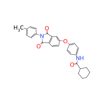 Cc1ccc(N2C(=O)c3ccc(Oc4ccc(NC(=O)C5CCCCC5)cc4)cc3C2=O)cc1